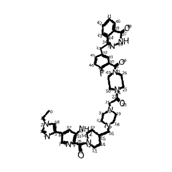 CCn1cnc(-c2cnc(C(=O)N3CCC(CN4CCN(CC(=O)N5CCN(C(=O)c6cc(Cc7n[nH]c(=O)c8ccccc78)ccc6F)CC5)CC4)CC3)c(N)c2)c1